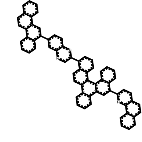 c1ccc2c(c1)ccc1c3ccccc3c(-c3ccc4nc(-c5cccc6c5ccc5c7ccccc7c7cc(-c8ccc9ccc%10ccccc%10c9n8)c8ccccc8c7c65)cnc4c3)cc21